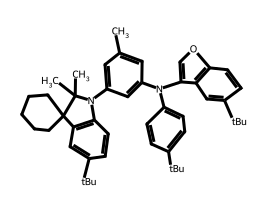 Cc1cc(N(c2ccc(C(C)(C)C)cc2)c2coc3ccc(C(C)(C)C)cc23)cc(N2c3ccc(C(C)(C)C)cc3C3(CCCCC3)C2(C)C)c1